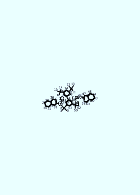 CC(C)(C)c1cc(-c2cc(C(C)(C)C)cc(C(C)(C)C)c2OPOc2ccc3ccccc3c2)c(OPOc2ccc3ccccc3c2)c(C(C)(C)C)c1